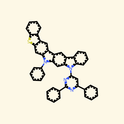 c1ccc(-c2cc(-n3c4ccccc4c4cc5c6cc7c(cc6n(-c6ccccc6)c5cc43)sc3ccccc37)nc(-c3ccccc3)n2)cc1